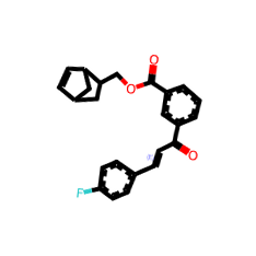 O=C(/C=C/c1ccc(F)cc1)c1cccc(C(=O)OCC2CC3C=CC2C3)c1